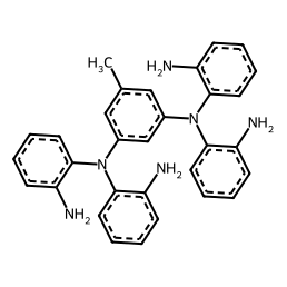 Cc1cc(N(c2ccccc2N)c2ccccc2N)cc(N(c2ccccc2N)c2ccccc2N)c1